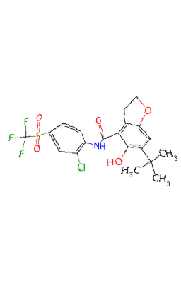 CC(C)(C)c1cc2c(c(C(=O)Nc3ccc(S(=O)(=O)C(F)(F)F)cc3Cl)c1O)CCO2